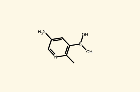 Cc1ncc(N)cc1B(O)O